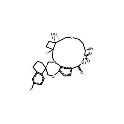 CC(C)[C@@H]1CCCC[C@@H](O)[C@@H]2CC[C@H]2CN2C[C@@]3(CCCc4cc(Cl)ccc43)COc3ccc(cc32)C(=O)NS1(=O)=O